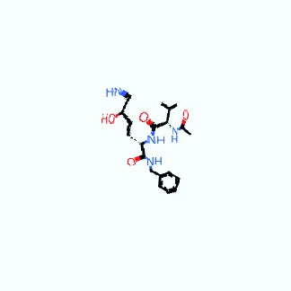 CC(=O)N[C@H](C(=O)N[C@@H](CCC(O)C=N)C(=O)NCc1ccccc1)C(C)C